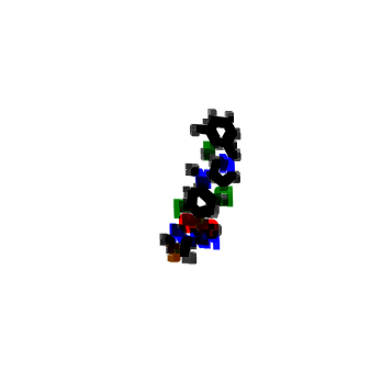 Cc1cccc(CN2CC[C@H](N(C)c3cc(F)c(S(=O)(=O)Nc4cscn4)cc3Cl)C2)c1F